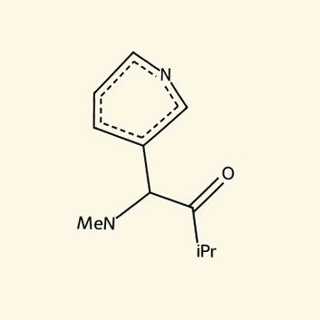 CNC(C(=O)C(C)C)c1cccnc1